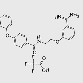 N=C(N)c1cccc(OCCNC(=O)c2ccc(Oc3ccccc3)cc2)c1.O=C(O)C(F)(F)F